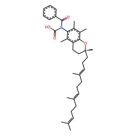 CC(C)=CCC/C(C)=C/CC/C(C)=C/CC[C@]1(C)CCc2c(C)c(N(C(=O)O)C(=O)c3ccccc3)c(C)c(C)c2O1